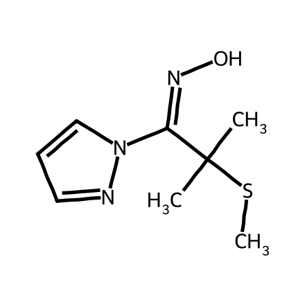 CSC(C)(C)C(=NO)n1cccn1